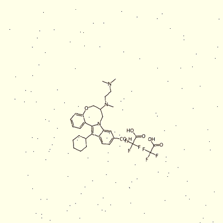 CN(C)CCN(C)C1COc2ccccc2-c2c(C3CCCCC3)c3ccc(C(=O)O)cc3n2C1.O=C(O)C(F)(F)F.O=C(O)C(F)(F)F